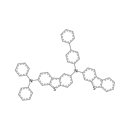 c1ccc(-c2ccc(N(c3ccc4c(c3)sc3ccccc34)c3ccc4sc5cc(N(c6ccccc6)c6ccccc6)ccc5c4c3)cc2)cc1